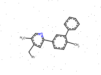 Cc1cnc(-c2ccc(C)c(-c3ccccc3)c2)cc1CC(C)C